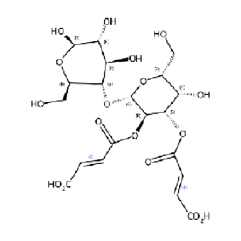 O=C(O)/C=C/C(=O)O[C@H]1[C@H](O[C@H]2[C@H](O)[C@@H](O)[C@H](O)O[C@@H]2CO)O[C@H](CO)[C@H](O)[C@@H]1OC(=O)/C=C/C(=O)O